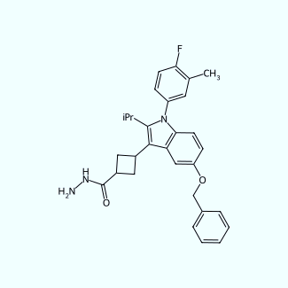 Cc1cc(-n2c(C(C)C)c(C3CC(C(=O)NN)C3)c3cc(OCc4ccccc4)ccc32)ccc1F